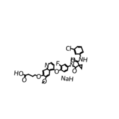 COc1cc2c(Oc3ccc(NC(=O)C4(C(=O)Nc5cccc(Cl)c5)CC4)cc3F)ccnc2cc1OCCCC(=O)O.[NaH]